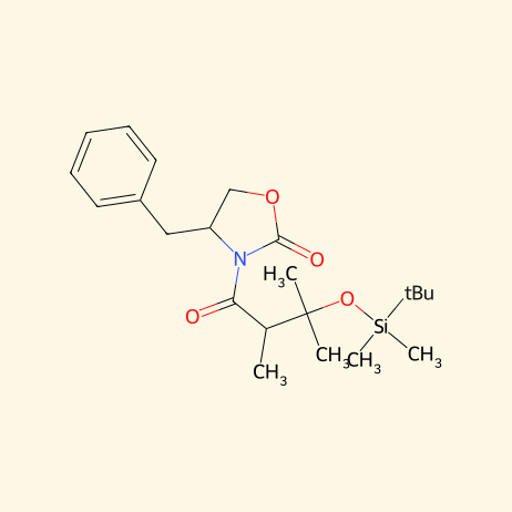 CC(C(=O)N1C(=O)OCC1Cc1ccccc1)C(C)(C)O[Si](C)(C)C(C)(C)C